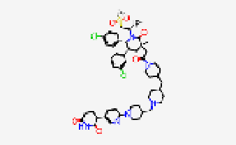 CC(C)[C@H](CS(=O)(=O)C(C)C)N1C(=O)[C@](C)(CC(=O)N2CCC(CC3CCN(CC4CCN(c5ccc(C6CCC(=O)NC6=O)cn5)CC4)CC3)CC2)C[C@@H](c2cccc(Cl)c2)[C@@H]1c1ccc(Cl)cc1